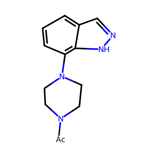 CC(=O)N1CCN(c2cccc3cn[nH]c23)CC1